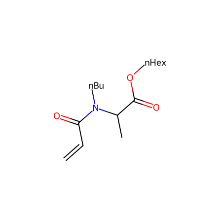 C=CC(=O)N(CCCC)C(C)C(=O)OCCCCCC